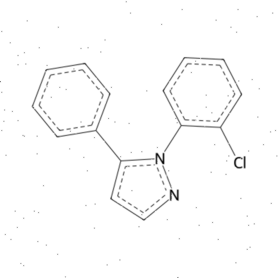 Clc1ccccc1-n1nccc1-c1ccccc1